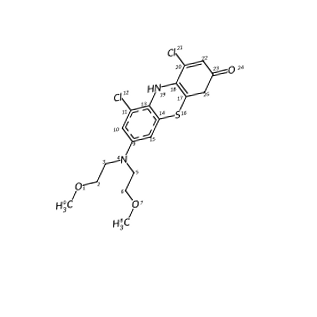 COCCN(CCOC)c1cc(Cl)c2c(c1)SC1=C(N2)C(Cl)=CC(=O)C1